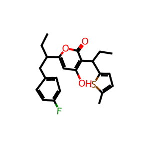 CCC(Cc1ccc(F)cc1)c1cc(O)c(C(CC)c2ccc(C)s2)c(=O)o1